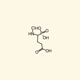 O=C(O)CCC(NCl)P(=O)(O)O